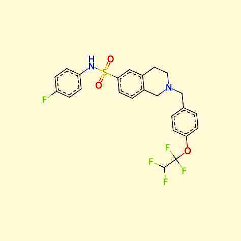 O=S(=O)(Nc1ccc(F)cc1)c1ccc2c(c1)CCN(Cc1ccc(OC(F)(F)C(F)F)cc1)C2